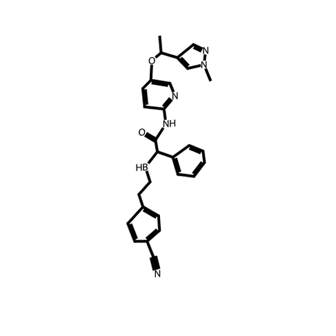 CC(Oc1ccc(NC(=O)C(BCCc2ccc(C#N)cc2)c2ccccc2)nc1)c1cnn(C)c1